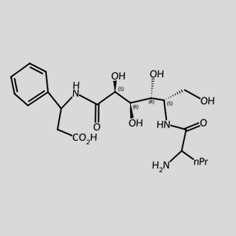 CCCC(N)C(=O)N[C@@H](CO)[C@@H](O)[C@@H](O)[C@H](O)C(=O)NC(CC(=O)O)c1ccccc1